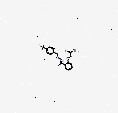 C/C(=N\OCc1ccc(C(F)(F)F)cc1)c1ccccc1OCC(=N)N